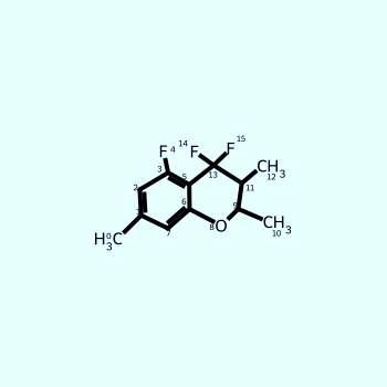 Cc1cc(F)c2c(c1)OC(C)C(C)C2(F)F